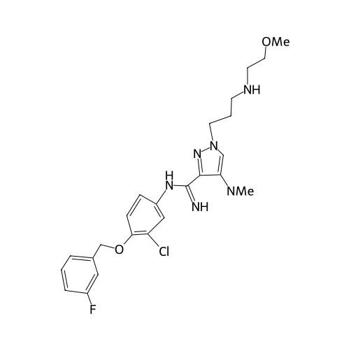 CNc1cn(CCCNCCOC)nc1C(=N)Nc1ccc(OCc2cccc(F)c2)c(Cl)c1